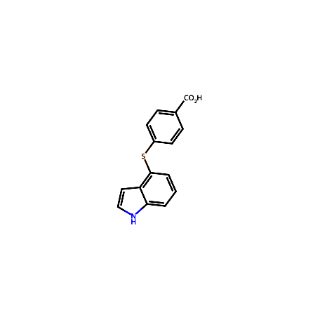 O=C(O)c1ccc(Sc2cccc3[nH]ccc23)cc1